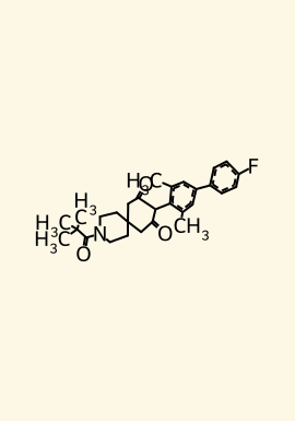 Cc1cc(-c2ccc(F)cc2)cc(C)c1C1C(=O)CC2(CCN(C(=O)C(C)(C)C)CC2)CC1=O